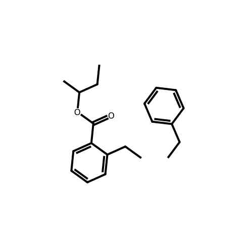 CCc1ccccc1.CCc1ccccc1C(=O)OC(C)CC